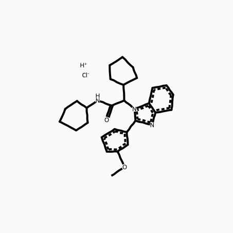 COc1cccc(-c2nc3ccccc3n2C(C(=O)NC2CCCCC2)C2CCCCC2)c1.[Cl-].[H+]